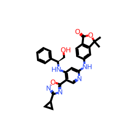 CC1(C)OC(=O)c2ccc(Nc3cc(N[C@H](CO)c4ccccc4)c(-c4nc(C5CC5)no4)cn3)cc21